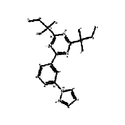 CCC(C)(C)c1nc(-c2cccc(-n3cccn3)c2)nc(C(C)(C)CC)n1